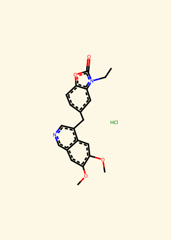 CCn1c(=O)oc2ccc(Cc3cncc4cc(OC)c(OC)cc34)cc21.Cl